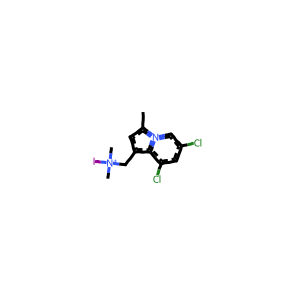 Cc1cc(C[N+](C)(C)I)c2c(Cl)cc(Cl)cn12